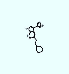 c1nc2[nH]cc(-c3cn[nH]c3)c2cc1CCC1CCCCC1